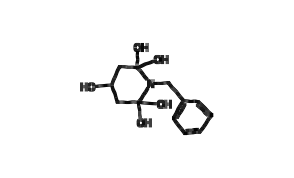 OC1CC(O)(O)N(Cc2ccccc2)C(O)(O)C1